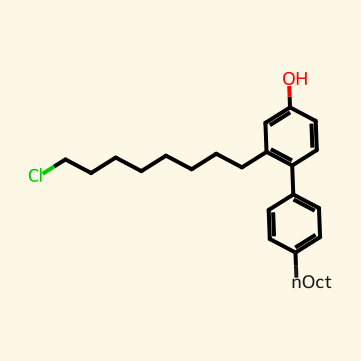 CCCCCCCCc1ccc(-c2ccc(O)cc2CCCCCCCCCl)cc1